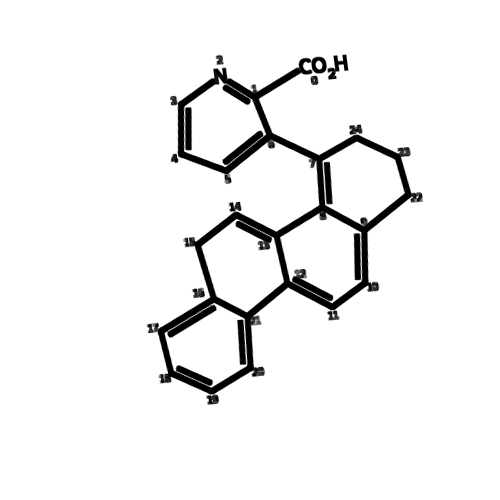 O=C(O)c1ncccc1C1=c2c(ccc3c2=CCc2ccccc2-3)CCC1